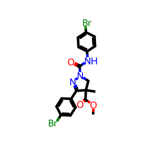 COC(=O)C1(C)CN(C(=O)Nc2ccc(Br)cc2)N=C1c1ccc(Br)cc1